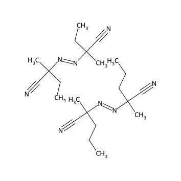 CCC(C)(C#N)/N=N/C(C)(C#N)CC.CCCC(C)(C#N)/N=N/C(C)(C#N)CCC